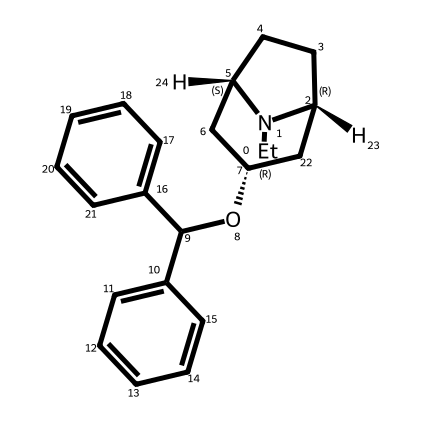 CCN1[C@@H]2CC[C@H]1C[C@@H](OC(c1ccccc1)c1ccccc1)C2